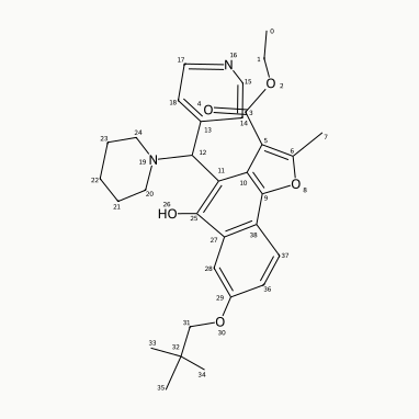 CCOC(=O)c1c(C)oc2c1c(C(c1ccncc1)N1CCCCC1)c(O)c1cc(OCC(C)(C)C)ccc12